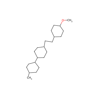 COC1CCC(CCC2CCC(C3CCC(C)CC3)CC2)CC1